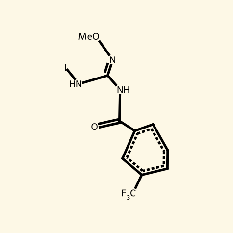 CON=C(NI)NC(=O)c1cccc(C(F)(F)F)c1